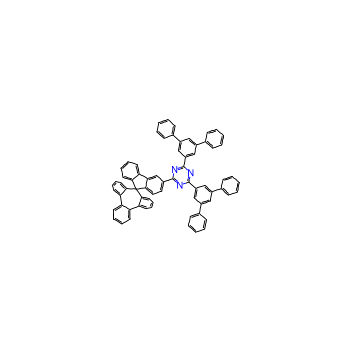 c1ccc(-c2cc(-c3ccccc3)cc(-c3nc(-c4cc(-c5ccccc5)cc(-c5ccccc5)c4)nc(-c4ccc5c(c4)-c4ccccc4C54c5ccccc5-c5ccccc5-c5ccccc54)n3)c2)cc1